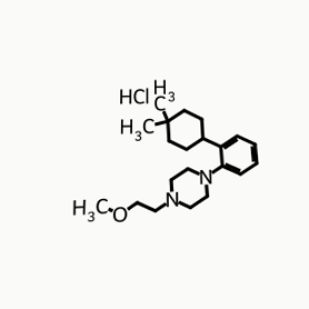 COCCN1CCN(c2ccccc2C2CCC(C)(C)CC2)CC1.Cl